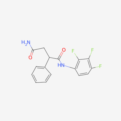 NC(=O)CC(C(=O)Nc1ccc(F)c(F)c1F)c1ccccc1